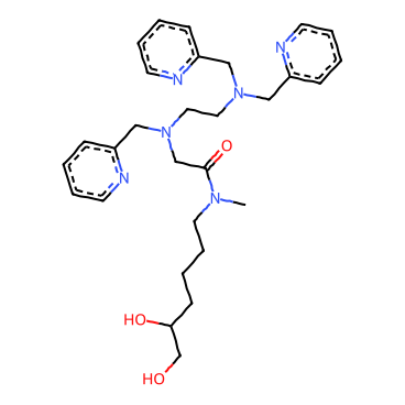 CN(CCCCC(O)CO)C(=O)CN(CCN(Cc1ccccn1)Cc1ccccn1)Cc1ccccn1